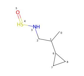 CC(CN[SH]=O)C1CC1